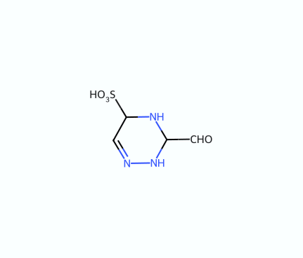 O=CC1NN=CC(S(=O)(=O)O)N1